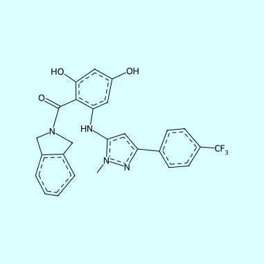 Cn1nc(-c2ccc(C(F)(F)F)cc2)cc1Nc1cc(O)cc(O)c1C(=O)N1Cc2ccccc2C1